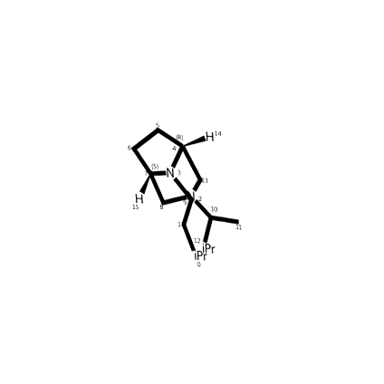 CC(C)CCN1[C@@H]2CC[C@H]1CN(C(C)C(C)C)C2